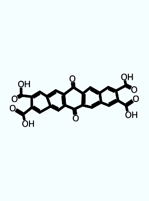 O=C(O)c1cc2cc3c(cc2cc1C(=O)O)C(=O)c1cc2cc(C(=O)O)c(C(=O)O)cc2cc1C3=O